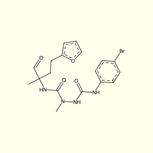 CN(NC(=O)Nc1ccc(Br)cc1)C(=O)NC(C)(C=O)CCc1ccco1